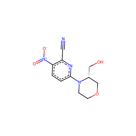 N#Cc1nc(N2CCOC[C@H]2CO)ccc1[N+](=O)[O-]